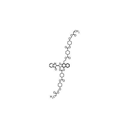 C=CC(=O)OCOC1CCC(OC(=O)C2CCC(C(=O)OCCc3c4c(c(OC(=O)C5CCC(C(=O)OC6CCC(OCOC(=O)C=C)CC6)CC5)c5ccccc35)S/C(=C3/N=C5C=CC=CN5C3=O)S4)CC2)CC1